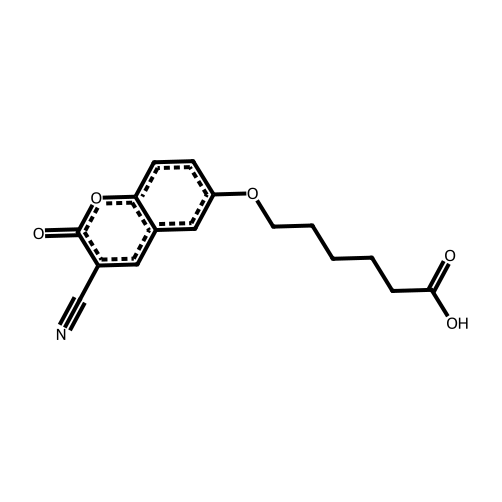 N#Cc1cc2cc(OCCCCCC(=O)O)ccc2oc1=O